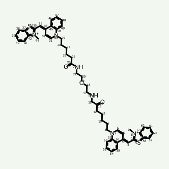 C[n+]1c(C=C2C=CN(CCCCCC(=O)CNCCOCCNC(=O)CCCCCN3C=CC(=Cc4sc5ccccc5[n+]4C)c4ccccc43)c3ccccc32)sc2ccccc21